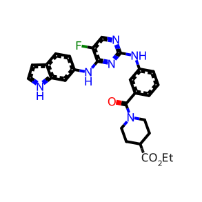 CCOC(=O)C1CCN(C(=O)c2cccc(Nc3ncc(F)c(Nc4ccc5cc[nH]c5c4)n3)c2)CC1